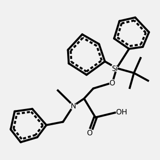 CN(Cc1ccccc1)C(CO[Si](c1ccccc1)(c1ccccc1)C(C)(C)C)C(=O)O